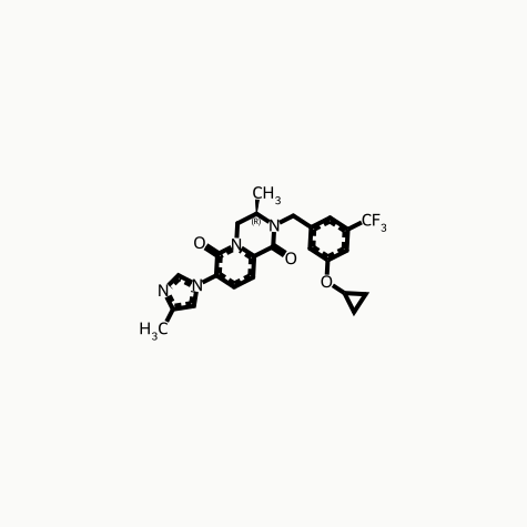 Cc1cn(-c2ccc3n(c2=O)C[C@@H](C)N(Cc2cc(OC4CC4)cc(C(F)(F)F)c2)C3=O)cn1